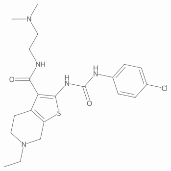 CCN1CCc2c(sc(NC(=O)Nc3ccc(Cl)cc3)c2C(=O)NCCN(C)C)C1